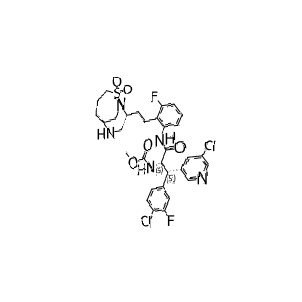 COC(=O)N[C@H](C(=O)Nc1cccc(F)c1CCC1CNC2CCCS(=O)(=O)N1C2)[C@H](c1cncc(Cl)c1)c1ccc(Cl)c(F)c1